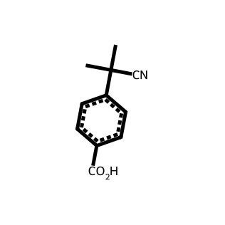 CC(C)(C#N)c1ccc(C(=O)O)cc1